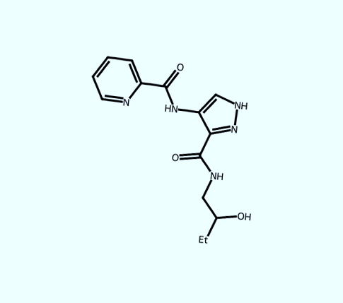 CCC(O)CNC(=O)c1n[nH]cc1NC(=O)c1ccccn1